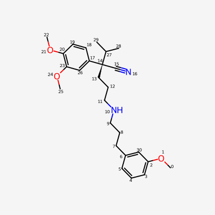 COc1cccc(CCCNCCC[C@@](C#N)(c2ccc(OC)c(OC)c2)C(C)C)c1